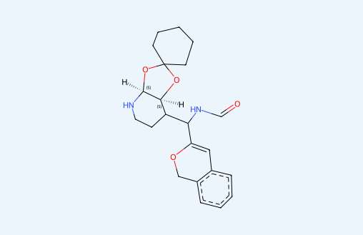 O=CNC(C1=Cc2ccccc2CO1)C1CCN[C@H]2OC3(CCCCC3)O[C@@H]12